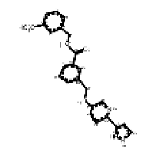 O=C(O)c1cccc(CNC(=O)c2cccc(COc3ccc(-c4ccn[nH]4)nc3)c2)c1